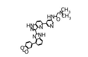 CN(C)CC(=O)Nc1cncc(-c2ccc3[nH]nc(-c4nc5c(-c6ccc7c(c6)OCO7)cccc5[nH]4)c3n2)c1